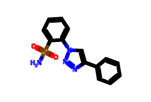 NS(=O)(=O)c1ccccc1-n1cc(-c2ccccc2)nn1